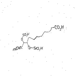 CCCCCCCCCCC(OS(=O)(=O)O)C(CCCCCCCC(=O)O)OS(=O)(=O)O